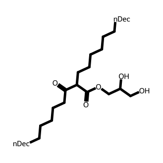 CCCCCCCCCCCCCCCCC(C(=O)CCCCCCCCCCCCCCC)C(=O)OCC(O)CO